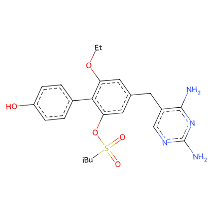 CCOc1cc(Cc2cnc(N)nc2N)cc(OS(=O)(=O)C(C)CC)c1-c1ccc(O)cc1